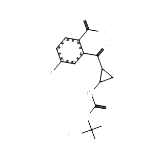 CC(C)(C)OC(=O)NC1CC1C(=O)c1cc(Br)ccc1C(=O)O